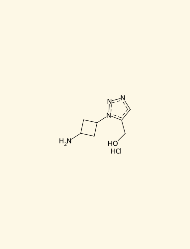 Cl.NC1CC(n2nncc2CO)C1